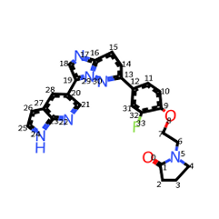 O=C1CCCN1CCOc1ccc(-c2ccc3ncc(-c4cnc5[nH]ccc5c4)n3n2)cc1F